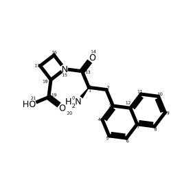 N[C@H](Cc1cccc2ccccc12)C(=O)N1CCC1C(=O)O